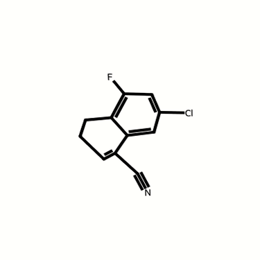 N#CC1=CCCc2c(F)cc(Cl)cc21